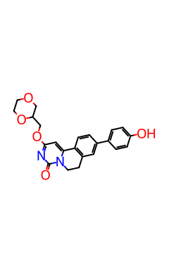 O=c1nc(OCC2COCCO2)cc2n1CCc1cc(-c3ccc(O)cc3)ccc1-2